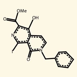 COC(=O)c1nc(I)c2c(=O)n(Cc3ccccc3)ccc2c1O